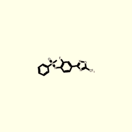 CS(=O)(=Nc1ccc(-c2noc(C(F)(F)F)n2)cc1F)c1ccccc1